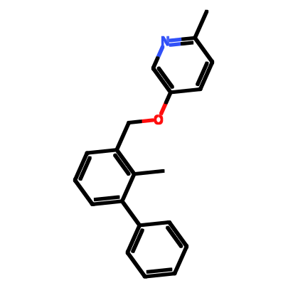 Cc1ccc(OCc2cccc(-c3ccccc3)c2C)cn1